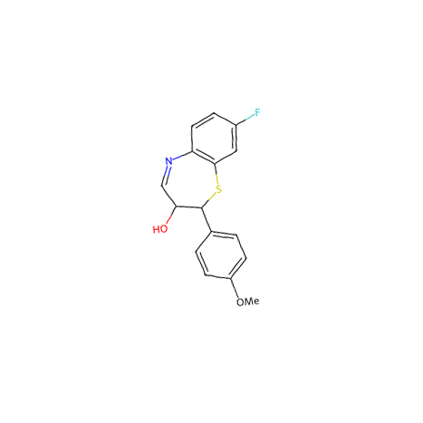 COc1ccc(C2Sc3cc(F)ccc3N=CC2O)cc1